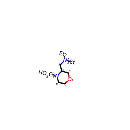 CCN(CC)CC1COCCN1C(=O)O